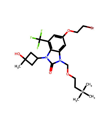 CC1(O)CC(n2c(=O)n(COCC[Si](C)(C)C)c3cc(OCCBr)cc(C(F)(F)F)c32)C1